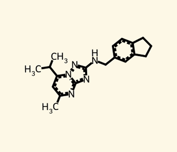 Cc1cc(C(C)C)n2nc(NCc3ccc4c(c3)CCC4)nc2n1